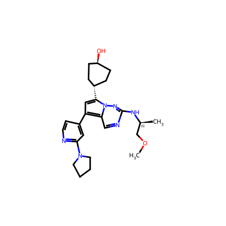 COC[C@H](C)Nc1ncc2c(-c3ccnc(N4CCCC4)c3)cc([C@H]3CC[C@H](O)CC3)n2n1